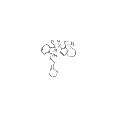 O=C(O)c1c(NS(=O)(=O)c2ccccc2NCCN2CCCCC2)ccc2c1CCCCC2